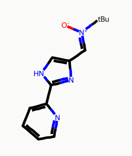 CC(C)(C)/[N+]([O-])=C/c1c[nH]c(-c2ccccn2)n1